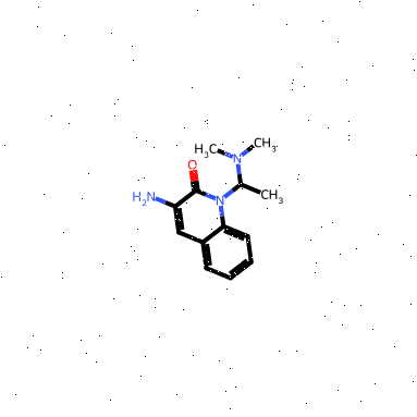 CC(N(C)C)n1c(=O)c(N)cc2ccccc21